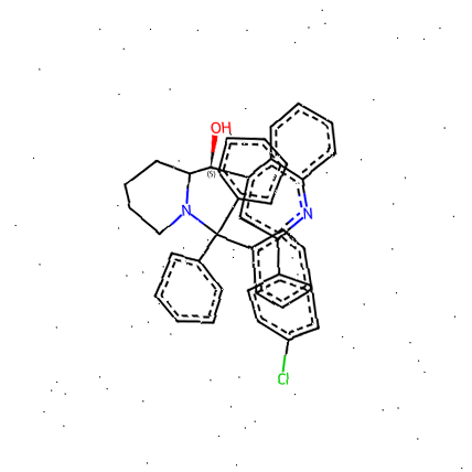 O[C@@H](c1cc(-c2ccc(Cl)cc2)nc2ccccc12)C1CCCCN1C(c1ccccc1)(c1ccccc1)c1ccccc1